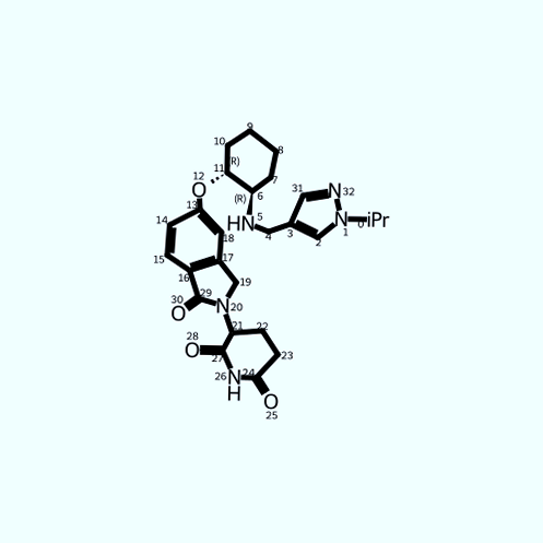 CC(C)n1cc(CN[C@@H]2CCCC[C@H]2Oc2ccc3c(c2)CN(C2CCC(=O)NC2=O)C3=O)cn1